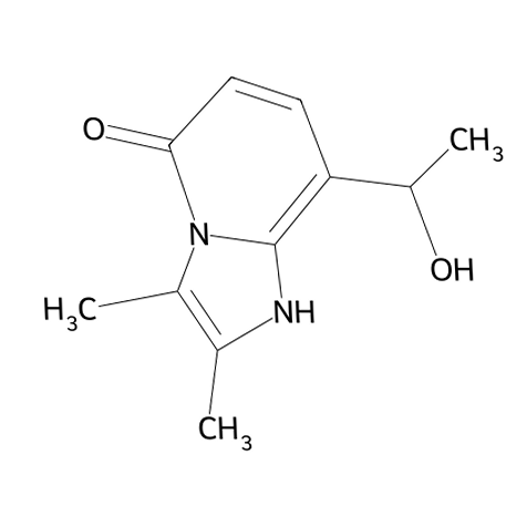 Cc1[nH]c2c(C(C)O)ccc(=O)n2c1C